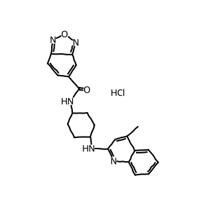 Cc1cc(NC2CCC(NC(=O)c3ccc4nonc4c3)CC2)nc2ccccc12.Cl